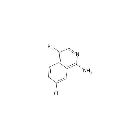 Nc1ncc(Br)c2ccc(Cl)cc12